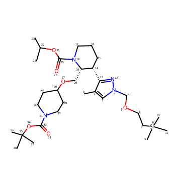 Cc1cn(COCC[Si](C)(C)C)nc1[C@H]1CCCN(C(=O)OC(C)C)[C@H]1COC1CCN(C(=O)OC(C)(C)C)CC1